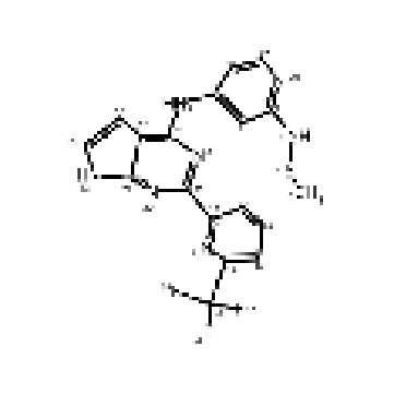 CSNc1cc(Nc2nc(-c3cccc(C(F)(F)F)n3)nc3[nH]ccc23)ccn1